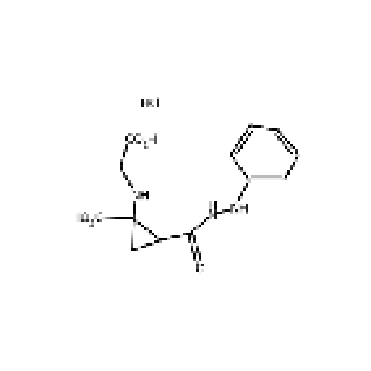 Cl.O=C(O)CNC1(C(=O)O)CC1C(=O)NNc1ccccc1